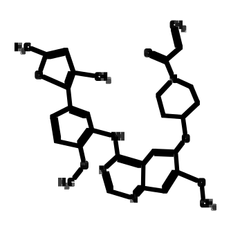 C=CC(=O)N1CCC(Oc2cc3c(Nc4cc(-c5oc(C)cc5C)ccc4OC)ncnc3cc2OC)CC1